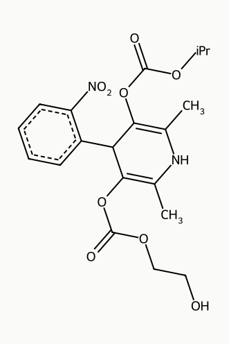 CC1=C(OC(=O)OCCO)C(c2ccccc2[N+](=O)[O-])C(OC(=O)OC(C)C)=C(C)N1